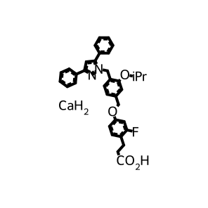 CC(C)Oc1cc(COc2ccc(CCC(=O)O)c(F)c2)ccc1Cn1nc(-c2ccccc2)cc1-c1ccccc1.[CaH2]